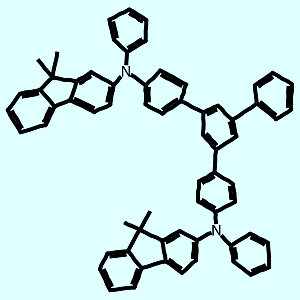 CC1(C)c2ccccc2-c2ccc(N(c3ccccc3)c3ccc(-c4cc(-c5ccccc5)cc(-c5ccc(N(c6ccccc6)c6ccc7c(c6)C(C)(C)c6ccccc6-7)cc5)c4)cc3)cc21